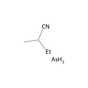 CCC(C)C#N.[AsH3]